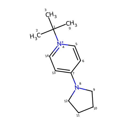 CC(C)(C)[n+]1ccc(N2CCCC2)cc1